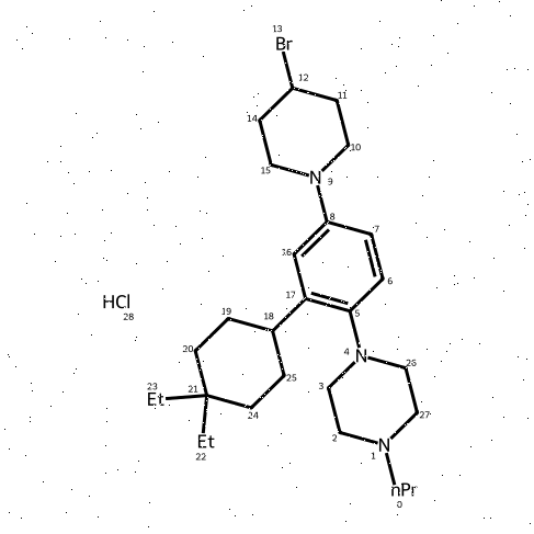 CCCN1CCN(c2ccc(N3CCC(Br)CC3)cc2C2CCC(CC)(CC)CC2)CC1.Cl